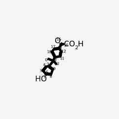 CC(C)(c1ccc(O)cc1)c1ccc(C(=O)C(=O)O)cc1